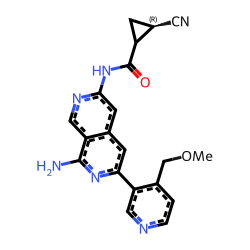 COCc1ccncc1-c1cc2cc(NC(=O)C3C[C@H]3C#N)ncc2c(N)n1